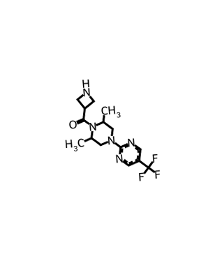 CC1CN(c2ncc(C(F)(F)F)cn2)CC(C)N1C(=O)C1CNC1